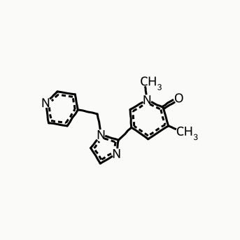 Cc1cc(-c2nccn2Cc2ccncc2)cn(C)c1=O